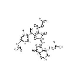 CC(=O)O.Cc1cc(CN(C)C)ccc1NC1=C(C(=O)OC(C)C)C(=O)C(=Cc2c[nH]c3ncccc23)O1